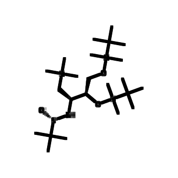 CC(C)(C)[S@+]([O-])N[C@@H](C[Si](C)(C)C)[C@@H](CO[Si](C)(C)C(C)(C)C)O[Si](C)(C)C(C)(C)C